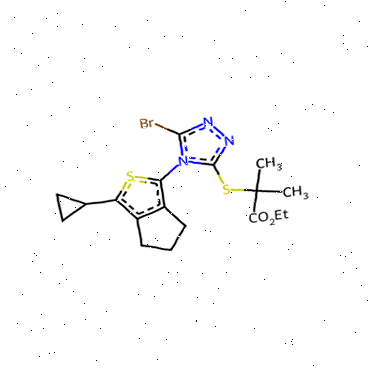 CCOC(=O)C(C)(C)Sc1nnc(Br)n1-c1sc(C2CC2)c2c1CCC2